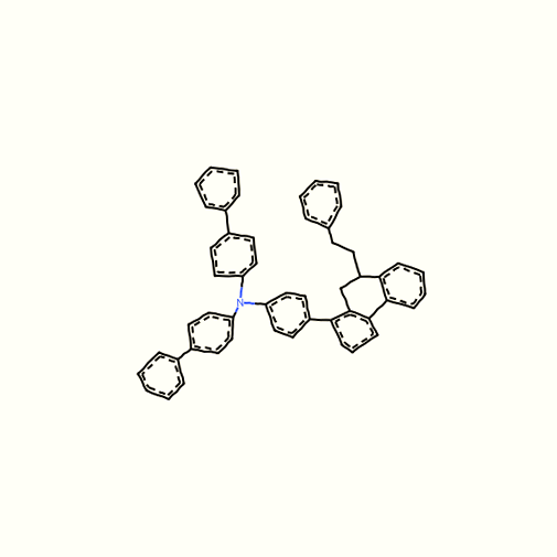 c1ccc(CCC2Cc3c(-c4ccc(N(c5ccc(-c6ccccc6)cc5)c5ccc(-c6ccccc6)cc5)cc4)cccc3-c3ccccc32)cc1